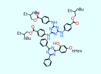 CCCCC(CC)COC(=O)c1ccc(Nc2nc(Nc3ccc(C(=O)OCC(CC)CCCC)cc3)nc(Nc3ccc(C(=O)OCC(CC)CCCC)cc3)n2)cc1.CCCCCCOc1ccc(-c2nc(-c3ccccc3)nc(-c3ccccc3)n2)c(O)c1